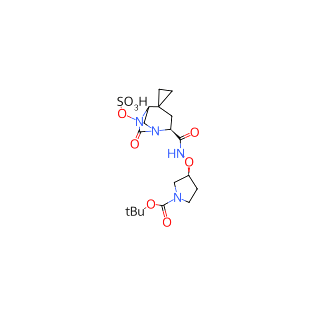 CC(C)(C)OC(=O)N1CC[C@H](ONC(=O)[C@@H]2CC3(CC3)C3CN2C(=O)N3OS(=O)(=O)O)C1